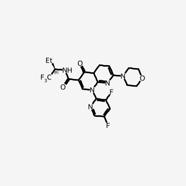 CC[C@@H](NC(=O)C1=CN(c2ncc(F)cc2F)C2=NC(N3CCOCC3)=CCC2C1=O)C(F)(F)F